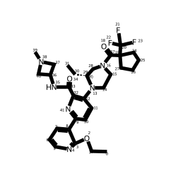 CCOc1ncccc1-c1ccc(N2CCN(C(=O)C3(C(F)(F)F)CCCC3)C[C@H]2CC)c(C(=O)NC2CN(C)C2)n1